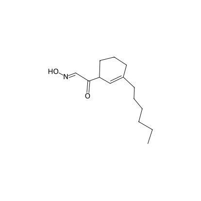 CCCCCCC1=CC(C(=O)C=NO)CCC1